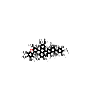 Bc1c(B)c(B)c(-c2c(B)c(B)c3c(B)c(-c4c5c(B)c(B)c(B)c(B)c5c(-c5c(B)c(B)c6oc7c(B)c(B)c(B)c(B)c7c6c5B)c5c(B)c(B)c(B)c(B)c45)c(B)c(B)c3c2B)c(B)c1B